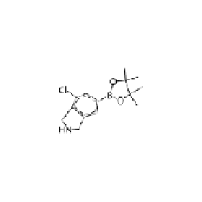 CC1(C)OB(c2cc(Cl)c3c(c2)CNC3)OC1(C)C